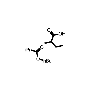 CCC(C)C(=O)O.CCCCOC(=O)C(C)C